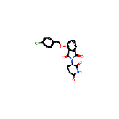 O=C1CCC(N2C(=O)c3cccc(OCc4ccc(Cl)cc4)c3C2=O)C(=O)N1